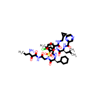 CC[C@H](N)C(=O)C(=O)NC(=O)CN(C(=O)[C@H](CC1CCCCC1)NC(=O)[C@@H](NC(=O)[C@H](CC(C)C)NC(=O)c1cnccn1)[C@@H](C)CC)S(=O)(=O)c1cc(C(=O)NCC2CC2)ccc1Cl